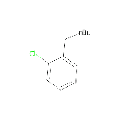 [CH2]CCCCc1ccccc1Cl